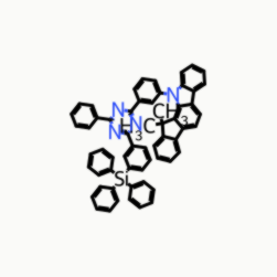 CC1(C)c2ccccc2-c2ccc3c4ccccc4n(-c4cccc(-c5nc(-c6ccccc6)nc(-c6cccc([Si](c7ccccc7)(c7ccccc7)c7ccccc7)c6)n5)c4)c3c21